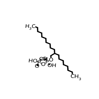 CCCCCCCCCCC(CCCCCCCC)COP(=O)(O)OP(=O)(O)O